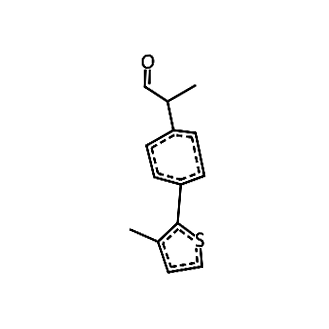 Cc1ccsc1-c1ccc(C(C)C=O)cc1